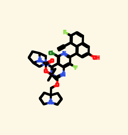 C#Cc1c(F)ccc2cc(O)cc(-c3nc(Cl)c4c(N5CC6CCC(C5)N6C(=O)OC(C)(C)C)nc(OCC56CCCN5CCC6)nc4c3F)c12